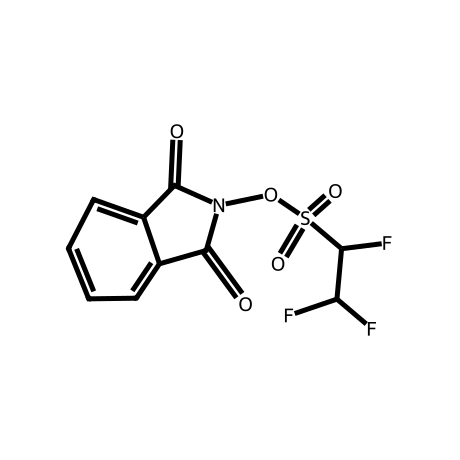 O=C1c2ccccc2C(=O)N1OS(=O)(=O)C(F)C(F)F